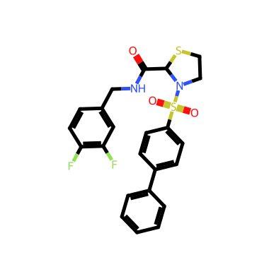 O=C(NCc1ccc(F)c(F)c1)C1SCCN1S(=O)(=O)c1ccc(-c2ccccc2)cc1